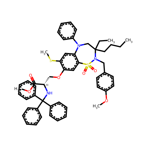 CCCCC1(CC)CN(c2ccccc2)c2cc(SC)c(OC[C@H](NC(c3ccccc3)(c3ccccc3)c3ccccc3)C(=O)OC)cc2S(=O)(=O)N1Cc1ccc(OC)cc1